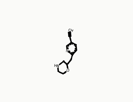 C#Cc1ccc(CC2CNCCO2)nc1